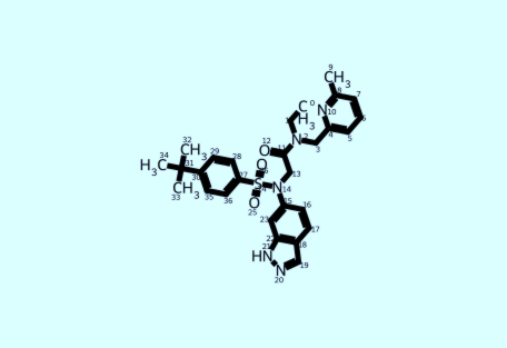 CCN(Cc1cccc(C)n1)C(=O)CN(c1ccc2cn[nH]c2c1)S(=O)(=O)c1ccc(C(C)(C)C)cc1